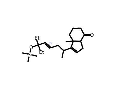 CCC(/C=C/CC(C)C1=CCC2C(=O)CCCC12C)(CC)O[Si](C)(C)C